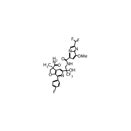 COc1cc(C(=O)NCC(O)(c2cc3c(c(-c4ccc(F)cc4)n2)OC[C@]3(C)C(N)=O)C(F)(F)F)cn2cc(C(F)F)nc12